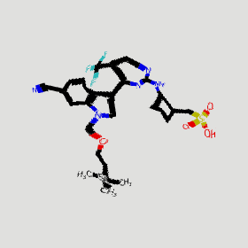 C[Si](C)(C)CCOCn1cc(-c2nc(NC3CCC3CS(=O)(=O)O)ncc2C(F)(F)F)c2ccc(C#N)cc21